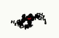 Cc1nc(C)nc(-c2ccc3c(c2)c2ccccc2n3-c2ccc(C#N)c(-c3cc(-c4ccc(C(F)(F)F)cc4C(F)(F)F)ccc3-n3c4ccccc4c4cc(-c5nc(C)nc(C)n5)ccc43)c2)n1